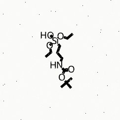 CCO[Si](O)(CCCNC(=O)OC(C)(C)C)OCC